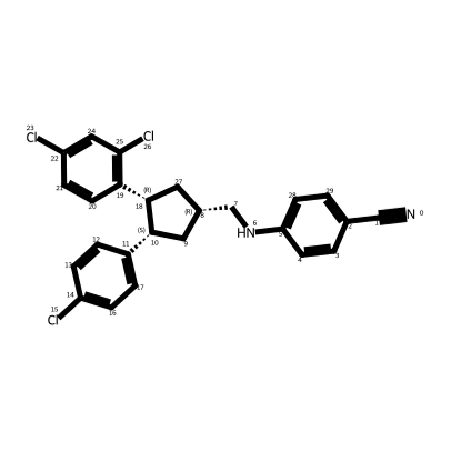 N#Cc1ccc(NC[C@@H]2C[C@H](c3ccc(Cl)cc3)[C@H](c3ccc(Cl)cc3Cl)C2)cc1